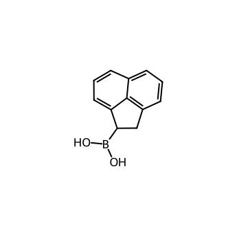 OB(O)C1Cc2cccc3cccc1c23